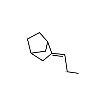 C[CH]C=C1CC2CCC1C2